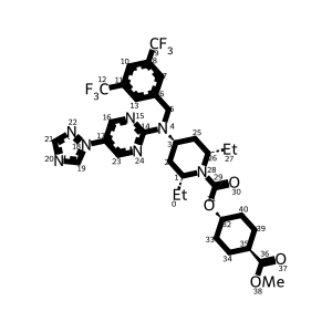 CC[C@@H]1C[C@H](N(Cc2cc(C(F)(F)F)cc(C(F)(F)F)c2)c2ncc(-n3cncn3)cn2)C[C@H](CC)N1C(=O)O[C@H]1CC[C@H](C(=O)OC)CC1